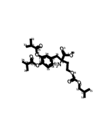 COC(=O)[C@@](N)(CCOC(=O)OCC(C)C)Cc1ccc(OC(=O)C(C)C)c(OC(=O)C(C)C)c1